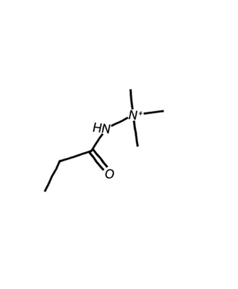 CCC(=O)N[N+](C)(C)C